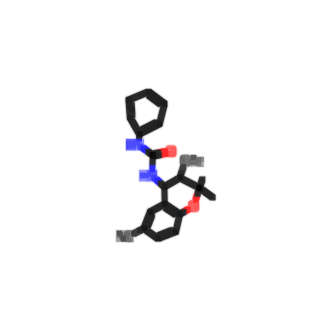 CC(=O)OC1C(NC(=O)Nc2ccccc2)c2cc(C#N)ccc2OC1(C)C